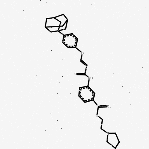 O=C(C=COc1ccc(C23CC4CC(CC(C4)C2)C3)cc1)Nc1cccc(C(=O)OCCN2CCCC2)c1